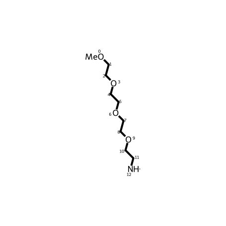 COCCOCCOCCOCC[NH]